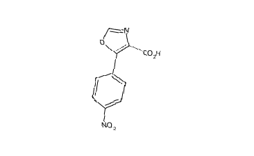 O=C(O)c1ncoc1-c1ccc([N+](=O)[O-])cc1